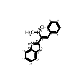 CN(C)C(=Cc1ccccc1)c1nc2ccccc2o1